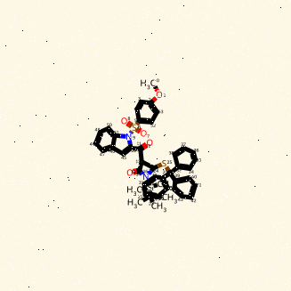 COc1ccc(S(=O)(=O)n2c(C(=O)C3C(=O)N([Si](C)(C)C(C)(C)C)C3SC(c3ccccc3)(c3ccccc3)c3ccccc3)cc3ccccc32)cc1